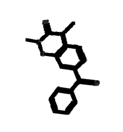 CC1C(=O)N(C)Oc2cc(C(=O)c3ccccc3)ccc21